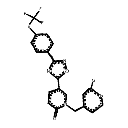 O=c1ccc(-c2nc(-c3ccc(SC(F)(F)F)cc3)no2)cn1Cc1ccnc(Cl)c1